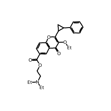 CCOc1c(C2CC2c2ccccc2)oc2ccc(C(=O)OCCN(CC)CC)cc2c1=O